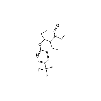 CCC(Oc1ccc(C(F)(F)F)cn1)C(CC)N(C=O)CC